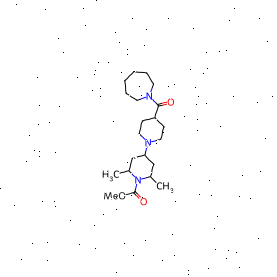 COC(=O)N1C(C)CC(N2CCC(C(=O)N3CCCCCC3)CC2)CC1C